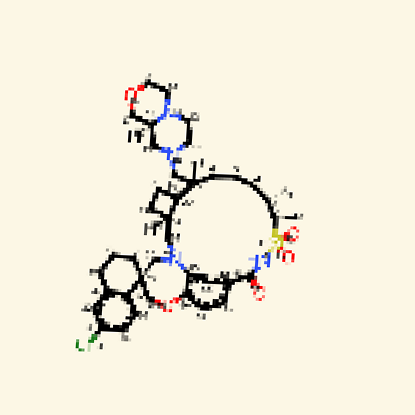 C[C@@H]1[C@@H](C)CCC[C@@](C)(CN2CCN3CCOC[C@@H]3C2)[C@@H]2CC[C@H]2CN2C[C@@]3(CCCc4cc(Cl)ccc43)COc3ccc(cc32)C(=O)NS1(=O)=O